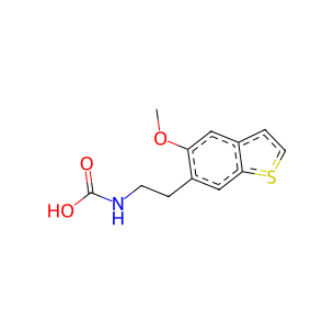 COc1cc2ccsc2cc1CCNC(=O)O